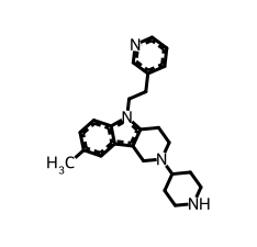 Cc1ccc2c(c1)c1c(n2CCc2cccnc2)CCN(C2CCNCC2)C1